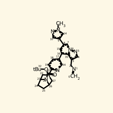 C=NCc1cnn2cc(-c3cnn(C)c3)cc(-c3ccc(N4CC5CCC(C4)N5C(=O)OC(C)(C)C)nc3)c12